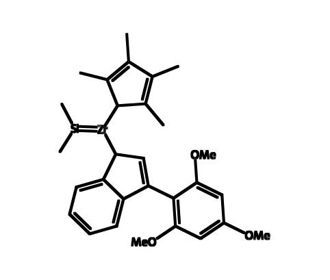 COc1cc(OC)c(C2=C[CH]([Zr]([CH]3C(C)=C(C)C(C)=C3C)=[Si](C)C)c3ccccc32)c(OC)c1